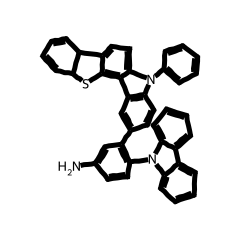 Nc1ccc(-n2c3ccccc3c3ccccc32)c(-c2ccc3c(c2)c2c4c(ccc2n3-c2ccccc2)C2C=CC=CC2S4)c1